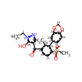 CCn1ncc(C(=O)c2ccc(S(C)(=O)=O)c(-c3ccc4c(c3)OCO4)c2C)c1O